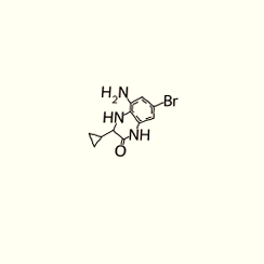 Nc1cc(Br)cc2c1NC(C1CC1)C(=O)N2